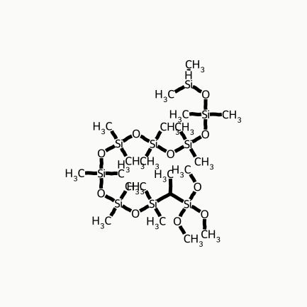 CO[Si](OC)(OC)C(C)[Si](C)(C)O[Si](C)(C)O[Si](C)(C)O[Si](C)(C)O[Si](C)(C)O[Si](C)(C)O[Si](C)(C)O[SiH](C)C